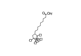 O=C(O)CCCCCCCCC1CC2(Cl)C(Cl)=C(Cl)C1(Cl)C2(Cl)Cl